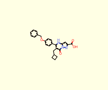 O=C(O)c1cc2[nH]c(-c3ccc(OCc4ccccc4)cc3)c(CC3CCC3)c(=O)n2n1